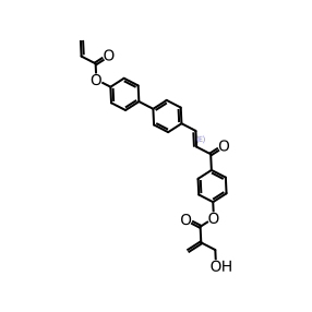 C=CC(=O)Oc1ccc(-c2ccc(/C=C/C(=O)c3ccc(OC(=O)C(=C)CO)cc3)cc2)cc1